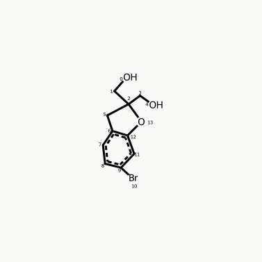 OCC1(CO)Cc2ccc(Br)cc2O1